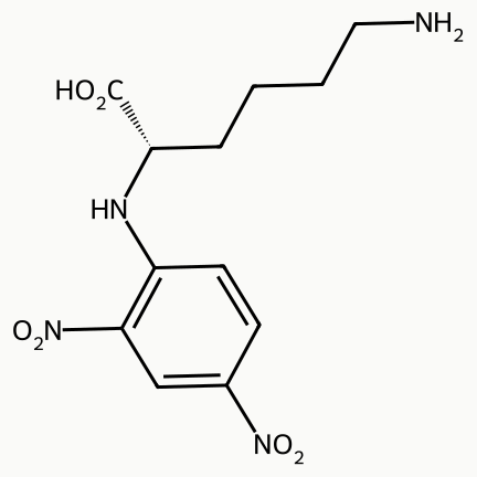 NCCCC[C@H](Nc1ccc([N+](=O)[O-])cc1[N+](=O)[O-])C(=O)O